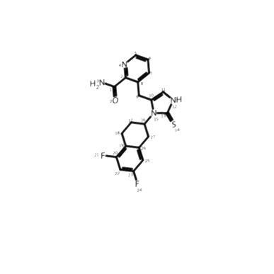 NC(=O)c1ncccc1Cc1c[nH]c(=S)n1C1CCc2c(F)cc(F)cc2C1